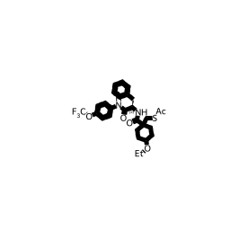 CCOC1CCC(CSC(C)=O)(C(=O)N[C@@H](Cc2ccccc2)C(=O)Nc2ccc(OC(F)(F)F)cc2)CC1